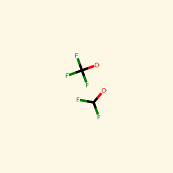 [O]C(F)(F)F.[O]C(F)F